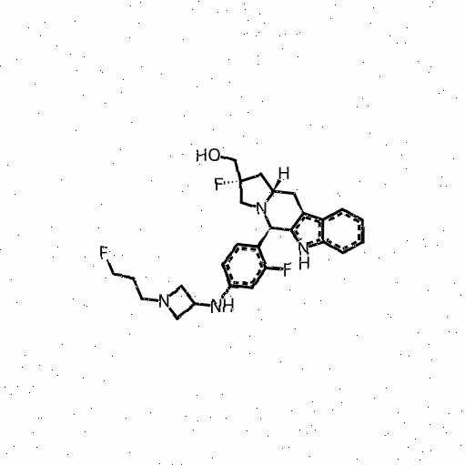 OC[C@@]1(F)C[C@@H]2Cc3c([nH]c4ccccc34)[C@@H](c3ccc(NC4CN(CCCF)C4)cc3F)N2C1